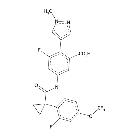 Cn1cc(-c2c(F)cc(NC(=O)C3(c4ccc(OC(F)(F)F)cc4F)CC3)cc2C(=O)O)cn1